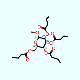 CCCC(=O)OC[C@H]1O[C@@H](OC)[C@H](OC(=O)CCC)[C@@H](OC(=O)CCC)[C@H]1OC(=O)CCC